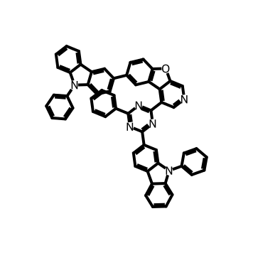 c1ccc(-c2nc(-c3ccc4c5ccccc5n(-c5ccccc5)c4c3)nc(-c3cncc4oc5ccc(-c6ccc7c(c6)c6ccccc6n7-c6ccccc6)cc5c34)n2)cc1